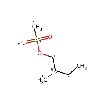 CC[C@H](C)COS(C)(=O)=O